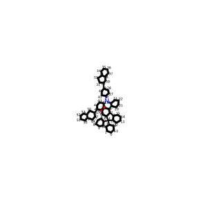 c1ccc(C2(c3ccccc3)c3ccccc3-c3c(-c4ccccc4N(c4ccc(-c5ccc6ccccc6c5)cc4)c4ccc(-c5ccc6ccccc6c5)cc4)cccc32)cc1